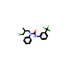 CC(CCl)CN(C(=O)Nc1cccc(C(F)(F)F)c1)c1ccccc1